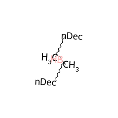 CCCCCCCCCCCCCCCCCCC(C)CBCC(C)CCCCCCCCCCCCCCCCCC